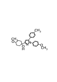 COc1ccc(-n2nc(C3(O)CCC(OC)CC3)cc2-c2ccc(C)cc2)cc1